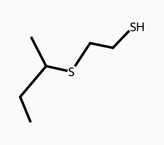 CCC(C)SCCS